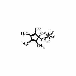 CC1=C(C)C(C)(C)[C]([Co+])=C1C.F[P-](F)(F)(F)(F)F